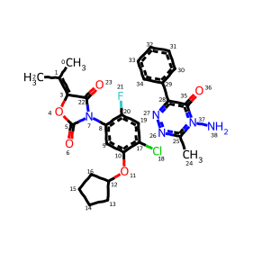 CC(C)=C1OC(=O)N(c2cc(OC3CCCC3)c(Cl)cc2F)C1=O.Cc1nnc(-c2ccccc2)c(=O)n1N